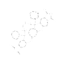 O=C1OC(=O)c2cc3c(cc21)Oc1cc2c(cc1C3(c1ccccc1)C(F)(F)F)C(c1ccccc1)(C(F)(F)F)c1cc3c(cc1O2)C(=O)OC3=O